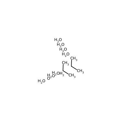 CCC.CCC.O.O.O.O.O.O.O.O